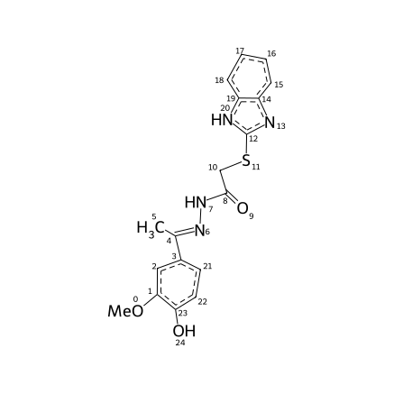 COc1cc(/C(C)=N/NC(=O)CSc2nc3ccccc3[nH]2)ccc1O